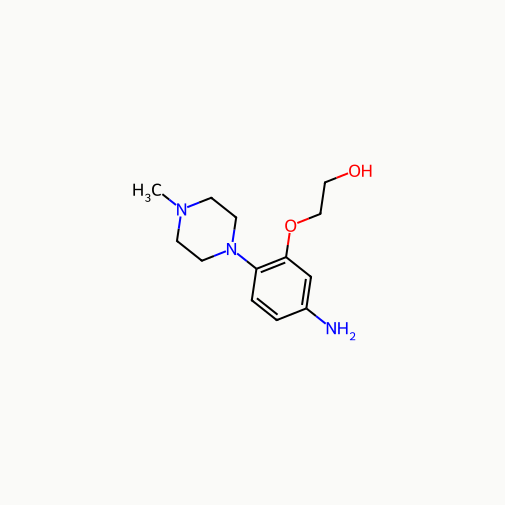 CN1CCN(c2ccc(N)cc2OCCO)CC1